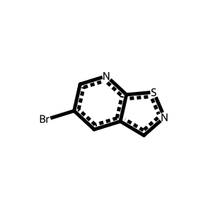 Brc1cnc2sncc2c1